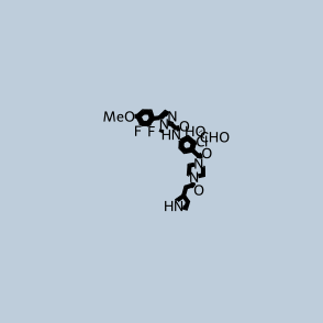 COc1ccc(-c2cnc(C(=O)Nc3ccc(C(=O)N4CCN(C(=O)CC5CCNC5)CC4)c(Cl)c3)n2C)c(F)c1F.O=CO